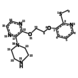 CSc1ncccc1OCCOc1nccnc1N1CCNCC1